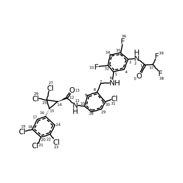 O=C(Nc1cc(NCc2cc(NC(=O)[C@H]3[C@H](c4cc(Cl)c(Cl)c(Cl)c4)C3(Cl)Cl)ccc2Cl)c(F)cc1F)C(F)F